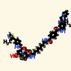 Cc1ncsc1-c1ccc(CNC(=O)[C@@H]2C[C@@H](O)CN2C(=O)[C@@H](NC(=O)CCCCCCCCCNC(=O)c2ccc(C(=O)Nc3ccc4[nH]c(CN5CCC[C@@H]5C)nc4c3)cc2)C(C)(C)C)cc1